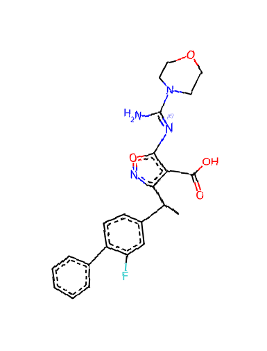 CC(c1ccc(-c2ccccc2)c(F)c1)c1noc(/N=C(\N)N2CCOCC2)c1C(=O)O